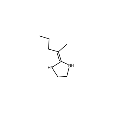 CCCC(C)=C1NCCN1